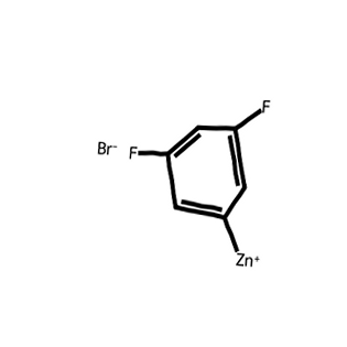 Fc1cc(F)c[c]([Zn+])c1.[Br-]